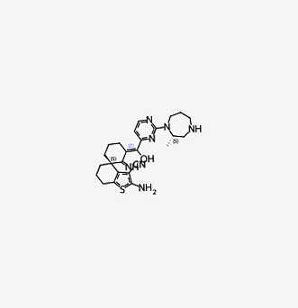 C[C@H]1CNCCCN1c1nccc(/C(O)=C2\CCC[C@@]3(CCCc4sc(N)c(C#N)c43)C2=N)n1